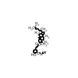 CC(C)=CCCC(C)C1CCC2(C)C3CCC4C(C)(C)C(OC(=O)/C=C/c5ccc(O)c(OCN=[N+]=[N-])c5)CCC45CC35CCC12C